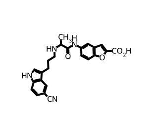 CC(NCCCc1c[nH]c2ccc(C#N)cc12)C(=O)Nc1ccc2oc(C(=O)O)cc2c1